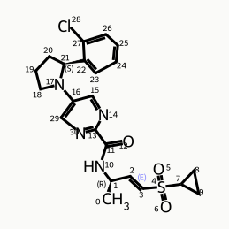 C[C@H](/C=C/S(=O)(=O)C1CC1)NC(=O)c1ncc(N2CCC[C@H]2c2ccccc2Cl)cn1